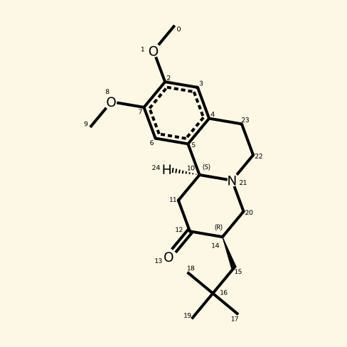 COc1cc2c(cc1OC)[C@@H]1CC(=O)[C@H](CC(C)(C)C)CN1CC2